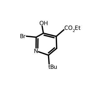 CCOC(=O)c1cc(C(C)(C)C)nc(Br)c1O